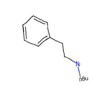 CCCC[N]CCc1ccccc1